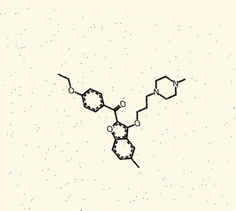 CCOc1ccc(C(=O)c2oc3ccc(C)cc3c2OCCCN2CCN(C)CC2)cc1